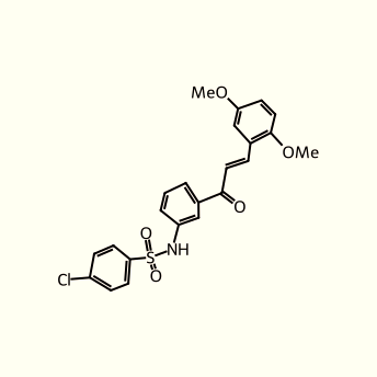 COc1ccc(OC)c(C=CC(=O)c2cccc(NS(=O)(=O)c3ccc(Cl)cc3)c2)c1